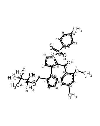 COc1cc(C)ccc1C(=O)c1c(-n2cccc2CO[Si](C)(C)C(C)(C)C)ccn1S(=O)(=O)c1ccc(C)cc1